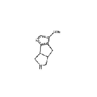 COc1csc2c1CC1CNCC21